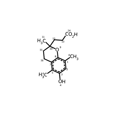 Cc1cc(O)c(C)c2c1OC(C)(CCC(=O)O)CC2